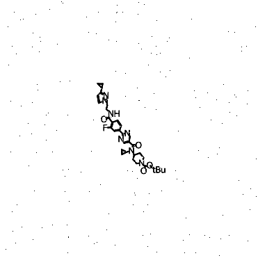 CC(C)(C)OC(=O)N1CCC(N(C(=O)c2cnc(-c3ccc(C(=O)NCCn4ccc(C5CC5)n4)c(F)c3)nc2)C2CC2)CC1